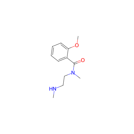 CNCCN(C)C(=O)c1ccccc1OC